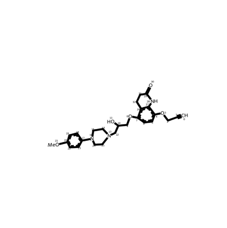 C#CCOc1ccc(OCC(O)CN2CCN(c3ccc(OC)cc3)CC2)c2c1NC(=O)CC2